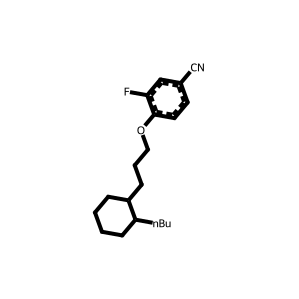 CCCCC1CCCCC1CCCOc1ccc(C#N)cc1F